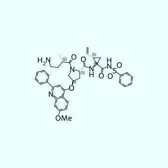 C=C[C@@H]1C[C@]1(NC(=O)[C@@H]1C[C@@H](Oc2cc(-c3ccccc3)nc3cc(OC)ccc23)CN1C(=O)[C@@H](C)CCN)C(=O)NS(=O)(=O)c1ccccc1